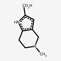 CN1CCc2[nH]c(C(=O)O)cc2C1